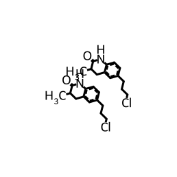 CC1Cc2cc(CCCCl)ccc2NC1=O.CC1Cc2cc(CCCCl)ccc2NC1=O